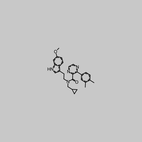 COc1ccc2c(CCN(CC3CC3)C(=O)c3nccnc3-c3ccc(C)c(C)c3)c[nH]c2c1